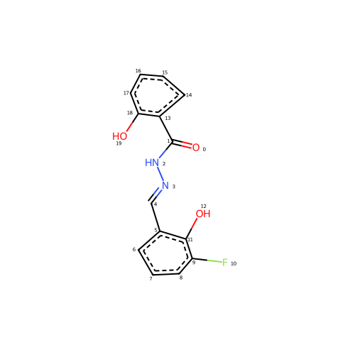 O=C(NN=Cc1cccc(F)c1O)c1ccccc1O